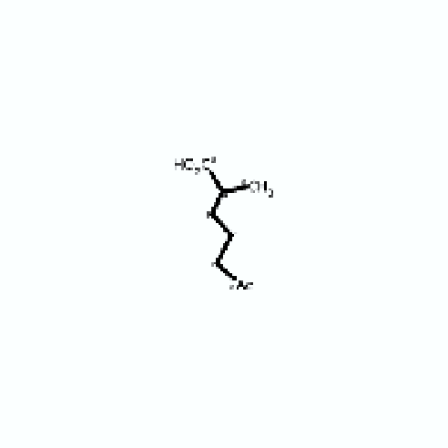 CC(=O)CCCC(C)C(=O)O